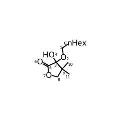 CCCCCCCOC1(O)C(=O)OCC1(C)C